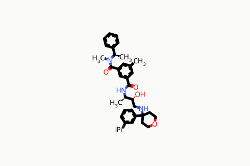 Cc1cc(C(=O)N[C@@H](C)[C@H](O)CNC2(c3cccc(C(C)C)c3)CCOCC2)cc(C(=O)N(C)[C@H](C)c2ccccc2)c1